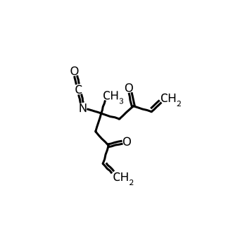 C=CC(=O)CC(C)(CC(=O)C=C)N=C=O